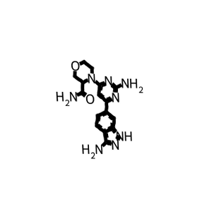 NC(=O)C1COCCN1c1cc(-c2ccc3c(N)n[nH]c3c2)nc(N)n1